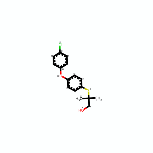 CC(C)(CO)Sc1ccc(Oc2ccc(Cl)cc2)cc1